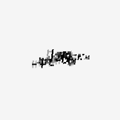 COc1ncccc1-c1cccc(-c2nc3ccc(C(=O)NCCc4c[nH]cn4)cc3[nH]2)c1O